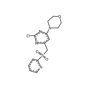 O=S(=O)(Cc1cc(N2CCOCC2)nc(Cl)n1)c1ccccn1